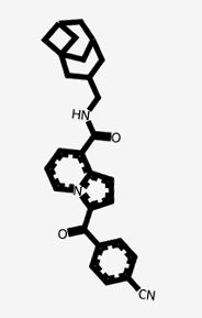 N#Cc1ccc(C(=O)c2ccc3c(C(=O)NCC4CC5CC6CC(C4)(C5)C6)cccn23)cc1